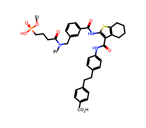 CCOP(=O)(O)CCCC(=O)N(Cc1cccc(C(=O)Nc2sc3c(c2C(=O)Nc2ccc(CCc4ccc(C(=O)O)cc4)cc2)CCCC3)c1)C(C)C